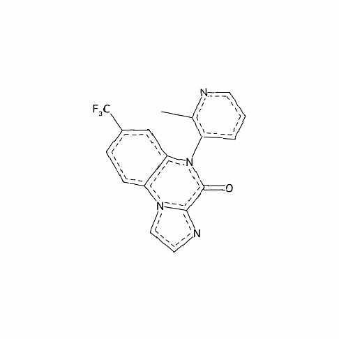 Cc1ncccc1-n1c(=O)c2nccn2c2ccc(C(F)(F)F)cc21